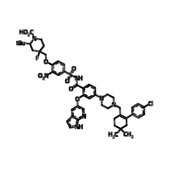 CC1(C)CCC(CN2CCN(c3ccc(C(=O)NS(=O)(=O)c4ccc(OCC5(F)CCN(C(=O)O)C(C(C)(C)C)C5)c([N+](=O)[O-])c4)c(Oc4cnc5[nH]ccc5c4)c3)CC2)=C(c2ccc(Cl)cc2)C1